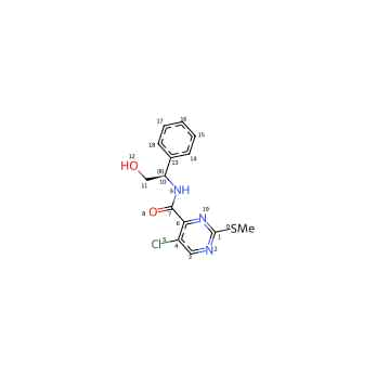 CSc1ncc(Cl)c(C(=O)N[C@@H](CO)c2ccccc2)n1